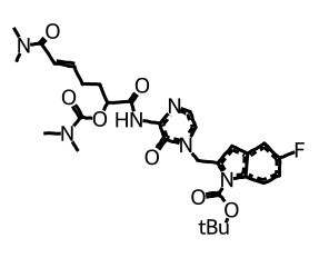 CN(C)C(=O)/C=C/CCC(OC(=O)N(C)C)C(=O)Nc1nccn(Cc2cc3cc(F)ccc3n2C(=O)OC(C)(C)C)c1=O